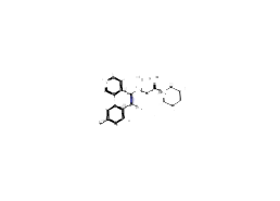 N/C(=C(/c1ccncc1)N(O)CC(=O)N1CCCCC1)c1ccc(Cl)cc1